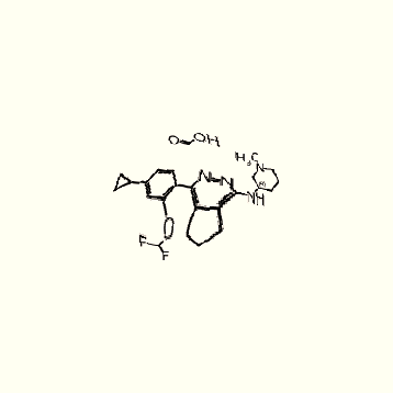 CN1CCC[C@@H](Nc2nnc(-c3ccc(C4CC4)cc3OC(F)F)c3c2CCC3)C1.O=CO